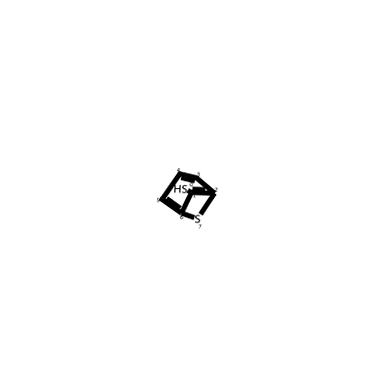 Sc1c2cccc1S2